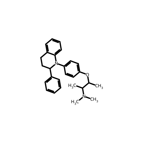 CC(Oc1ccc(N2c3ccccc3CCC2c2ccccc2)cc1)C(C)N(C)C